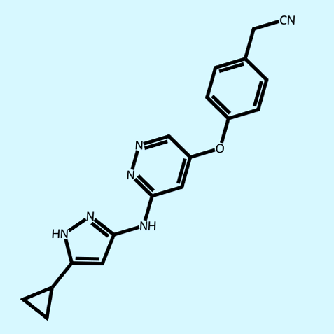 N#CCc1ccc(Oc2cnnc(Nc3cc(C4CC4)[nH]n3)c2)cc1